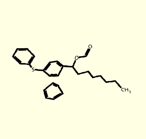 CCCCCCCC(OC=O)c1ccc(Sc2ccccc2)cc1.c1ccccc1